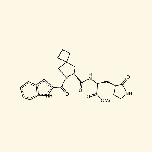 COC(=O)[C@H](C[C@@H]1CCNC1=O)NC(=O)[C@@H]1CC2(CCC2)CN1C(=O)c1cc2ccccc2[nH]1